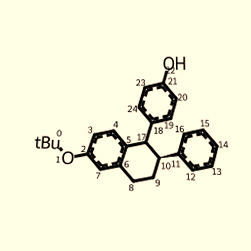 CC(C)(C)Oc1ccc2c(c1)CC[C@H](c1ccccc1)C2c1ccc(O)cc1